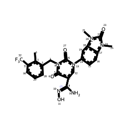 Cc1c(Cn2c(=O)c(/C(N)=N/O)cn(-c3ccc4c(c3)n(C)c(=O)n4C)c2=O)cccc1C(F)(F)F